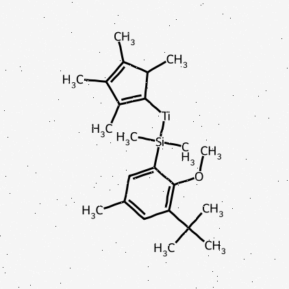 COc1c(C(C)(C)C)cc(C)cc1[Si](C)(C)[Ti][C]1=C(C)C(C)=C(C)C1C